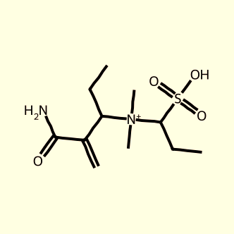 C=C(C(N)=O)C(CC)[N+](C)(C)C(CC)S(=O)(=O)O